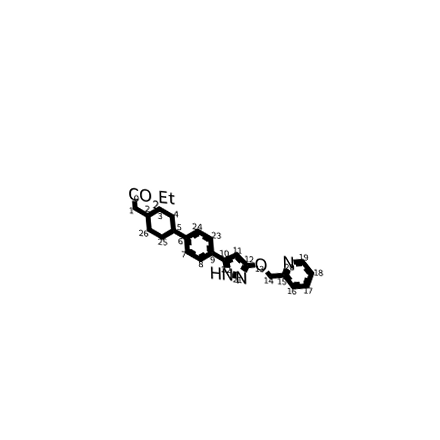 CCOC(=O)CC1CCC(c2ccc(-c3cc(OCc4ccccn4)n[nH]3)cc2)CC1